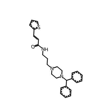 O=C(C=Cc1cccs1)NCCCN1CCN(C(c2ccccc2)c2ccccc2)CC1